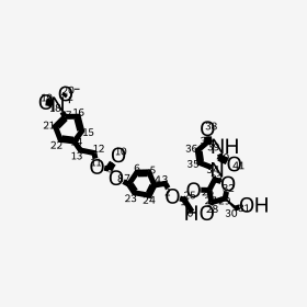 CC(OCc1ccc(OC(=O)OCCc2ccc([N+](=O)[O-])cc2)cc1)OC1C(O)[C@H](CO)O[C@@H]1n1ccc(=O)[nH]c1=O